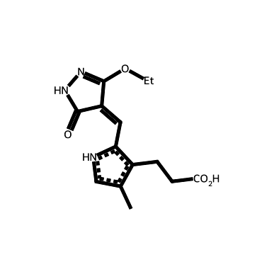 CCOC1=NNC(=O)C1=Cc1[nH]cc(C)c1CCC(=O)O